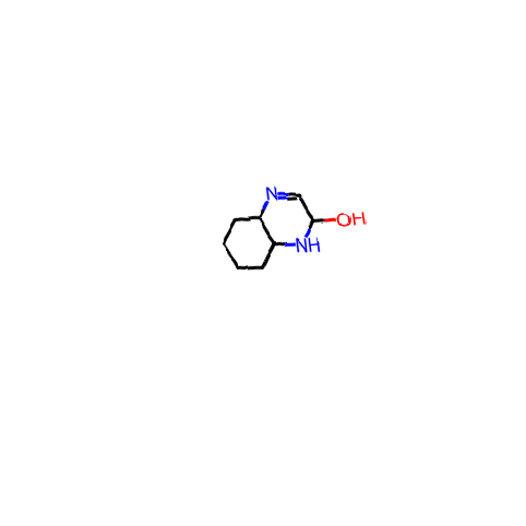 OC1C=NC2CCCCC2N1